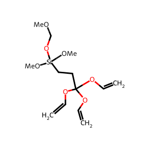 C=COC(CC[Si](OC)(OC)OCOC)(OC=C)OC=C